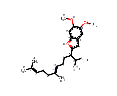 COc1cc2cc(C(CC/C=C(\C)CCC=C(C)C)C(C)C)oc2cc1OC